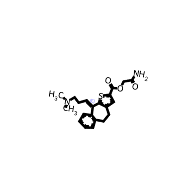 CN(C)CC/C=C1\c2ccccc2CCc2cc(C(=O)OCC(N)=O)sc21